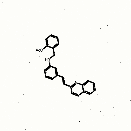 CC(=O)Oc1ccccc1CNc1cccc(C=Cc2ccc3ccccc3n2)c1